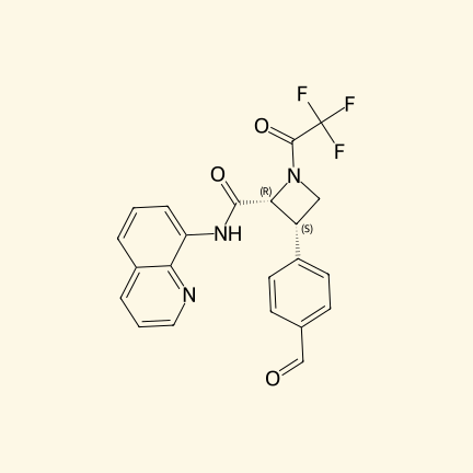 O=Cc1ccc([C@H]2CN(C(=O)C(F)(F)F)[C@H]2C(=O)Nc2cccc3cccnc23)cc1